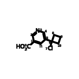 O=C(O)c1cncc(C2(Cl)CCC2)c1